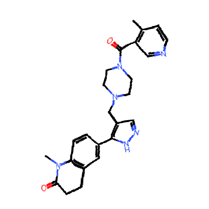 Cc1ccncc1C(=O)N1CCN(Cc2cn[nH]c2-c2ccc3c(c2)CCC(=O)N3C)CC1